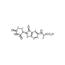 CC(Nc1ccc2c(c1)C(=O)N(C1CCC(=O)NC1=O)C2)C(=O)O